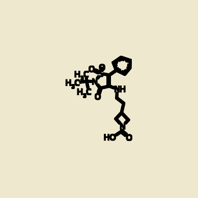 CC(C)(C)N1C(=O)C(NCCC2CN(C(=O)O)C2)=C(c2ccccc2)S1(=O)=O